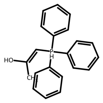 CC(O)=C[PH](c1ccccc1)(c1ccccc1)c1ccccc1